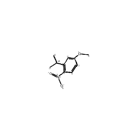 COc1ccc([N+](=O)[O-])c(C(C)C)c1